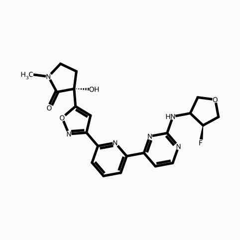 CN1CC[C@@](O)(c2cc(-c3cccc(-c4ccnc(NC5COC[C@H]5F)n4)n3)no2)C1=O